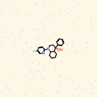 OC1(c2ccccc2)CCN(c2ccc(F)cn2)C2CCCCC21